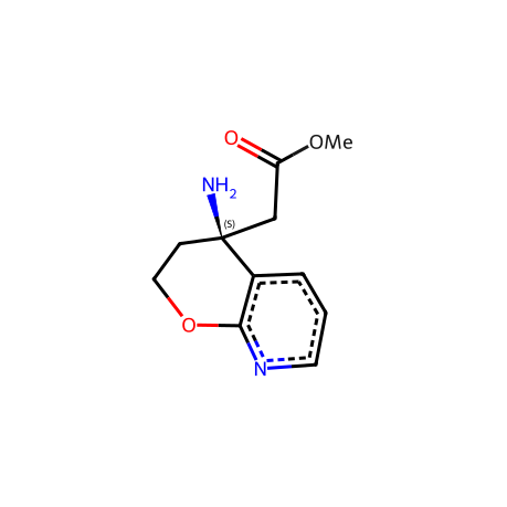 COC(=O)C[C@@]1(N)CCOc2ncccc21